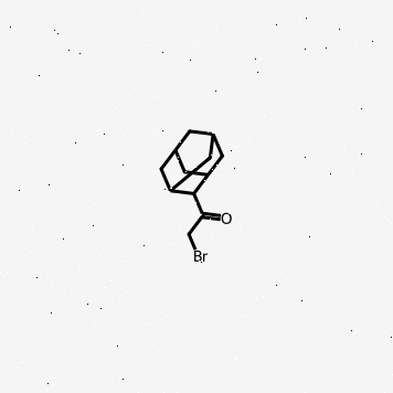 O=C(CBr)C1C2CC3CC(C2)CC1C3